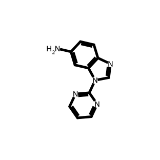 Nc1ccc2ncn(-c3ncccn3)c2c1